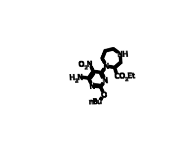 CCCCOc1nc(N)c([N+](=O)[O-])c(N2CCCNCC2C(=O)OCC)n1